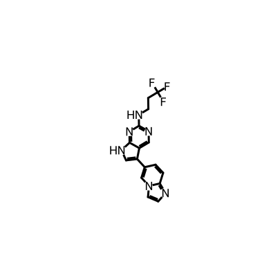 FC(F)(F)CCNc1ncc2c(-c3ccc4nccn4c3)c[nH]c2n1